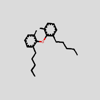 CCCCCc1cccc(C)c1Oc1c(C)cccc1CCCCC